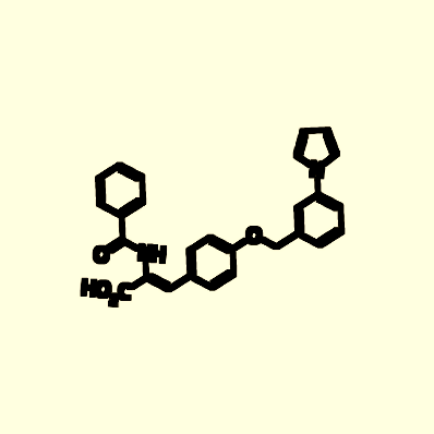 O=C(O)C(=Cc1ccc(OCc2cccc(-n3cccc3)c2)cc1)NC(=O)c1ccccc1